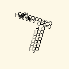 O.O.O.O.O.O.O.O.O.O.O.O.O=B[O-].O=B[O-].[Ca+2]